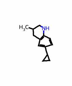 CC1CNc2ccc(C3CC3)cc2C1